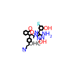 CC(c1oc(=O)c2ccccc2c1-c1ccc(CCCN(C)C)cc1)n1nc(-c2cc(O)cc(F)c2)c2c(N)ncnc21.O=CO